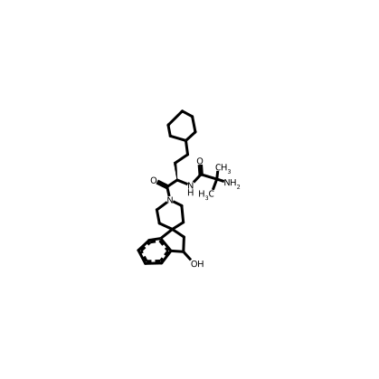 CC(C)(N)C(=O)N[C@H](CCC1CCCCC1)C(=O)N1CCC2(CC1)CC(O)c1ccccc12